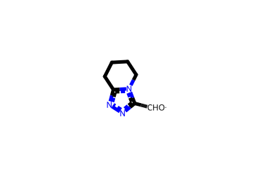 O=[C]c1nnc2n1CCCC2